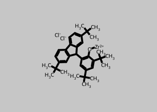 CC(C)(C)c1ccc2c(c1)C(c1cc(C(C)(C)C)cc(C(C)(C)C)c1[O][Zr+2])c1cc(C(C)(C)C)ccc1-2.[Cl-].[Cl-]